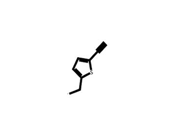 C#Cc1ccc(C[CH2])s1